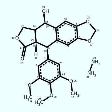 COc1cc([C@@H]2c3cc4c(cc3[C@H](O)C3COC(=O)[C@H]32)OCO4)cc(OC)c1OC.NN